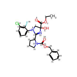 CCOC(=O)C1(O)CN(c2cccc(Cl)c2F)C(C2CCCN2C(=O)OCc2ccccc2)=N1